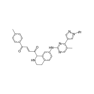 Cc1ccc(C(=O)C=CC(=O)C2NCCc3ccc(Nc4ncc(C)c(-c5cnn(C(C)C)c5)n4)cc32)cc1